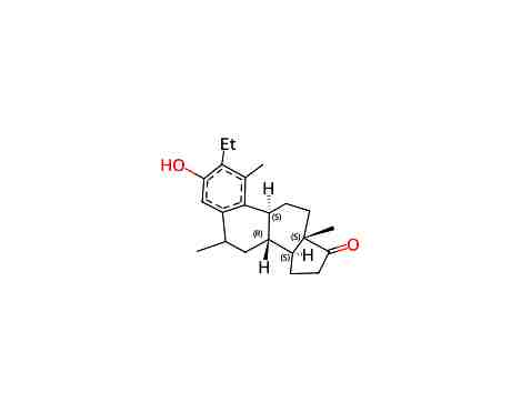 CCc1c(O)cc2c(c1C)[C@H]1CC[C@]3(C)C(=O)CC[C@H]3[C@@H]1CC2C